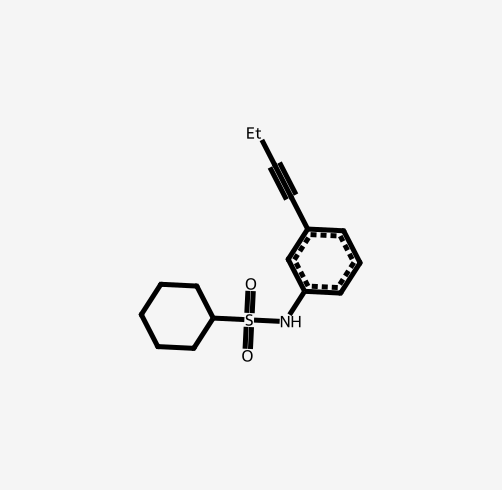 CCC#Cc1cccc(NS(=O)(=O)C2CCCCC2)c1